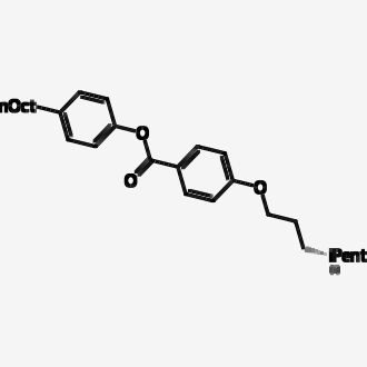 CCCCCCCCc1ccc(OC(=O)c2ccc(OCCC[C@@H](C)CCC)cc2)cc1